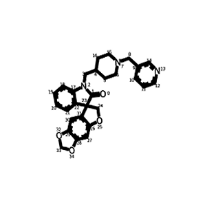 O=C1N(CC2CCN(Cc3cccnc3)CC2)c2ccccc2C12COc1cc3c(cc12)OCO3